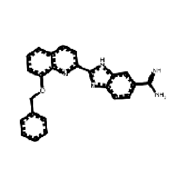 N=C(N)c1ccc2nc(-c3ccc4cccc(OCc5ccccc5)c4n3)[nH]c2c1